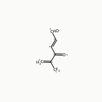 C=C(C(=O)C=C[C]=O)C(F)(F)F